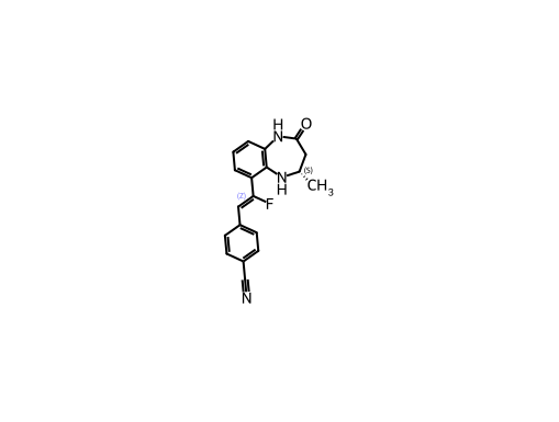 C[C@H]1CC(=O)Nc2cccc(/C(F)=C/c3ccc(C#N)cc3)c2N1